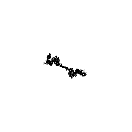 CC[C@H](NC)C(=O)N[C@@H](Cc1ccc(OCC#CC#CCOc2ccc(C[C@H](NC(=O)[C@H](CC)NC)C(=O)N3CC(C)(C)c4[nH]c(=O)c(Cc5ccc(F)cc5)cc43)c(C)c2)cc1C)C(=O)N1CC(C)(C)c2[nH]c(=O)c(Cc3ccc(F)cc3)cc21